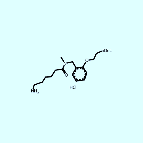 CCCCCCCCCCCCOc1ccccc1CN(C)C(=O)CCCCCN.Cl